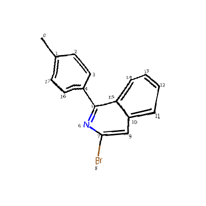 Cc1ccc(-c2nc(Br)cc3ccccc23)cc1